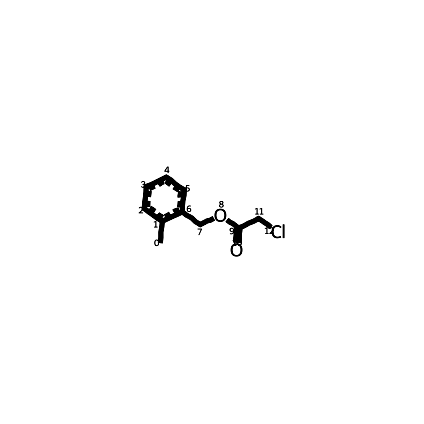 Cc1ccccc1COC(=O)CCl